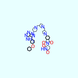 Nc1ncnc2c1c(-c1ccc(Oc3ccccc3)cc1)nn2C1CCN(CC2CCN(CC3CCN(c4ccc5c(c4)C(=O)N(C4CCC(=O)NC4=O)C5=O)C3)C2)CC1